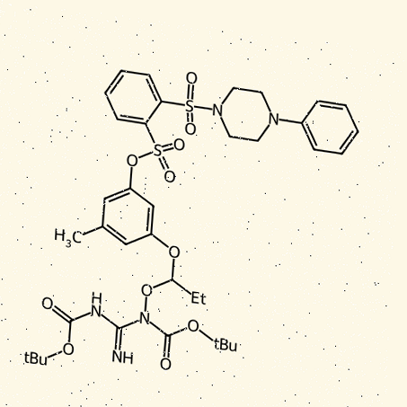 CCC(Oc1cc(C)cc(OS(=O)(=O)c2ccccc2S(=O)(=O)N2CCN(c3ccccc3)CC2)c1)ON(C(=N)NC(=O)OC(C)(C)C)C(=O)OC(C)(C)C